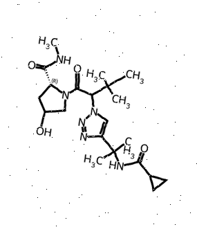 CNC(=O)[C@H]1CC(O)CN1C(=O)C(n1cc(C(C)(C)NC(=O)C2CC2)nn1)C(C)(C)C